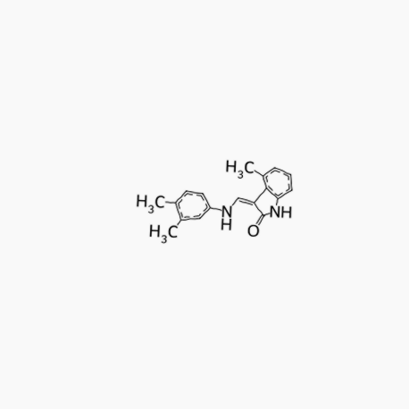 Cc1ccc(NC=C2C(=O)Nc3cccc(C)c32)cc1C